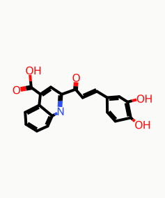 O=C(C=Cc1ccc(O)c(O)c1)c1cc(C(=O)O)c2ccccc2n1